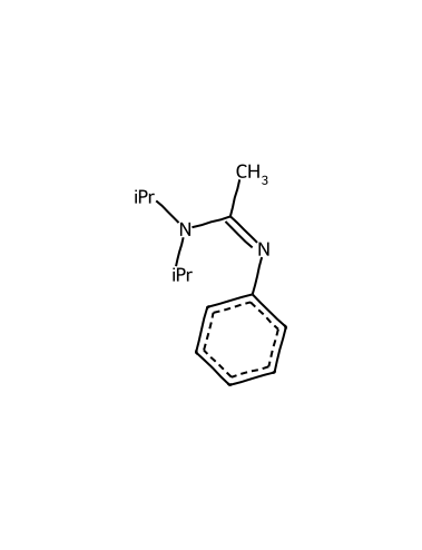 C/C(=N/c1ccccc1)N(C(C)C)C(C)C